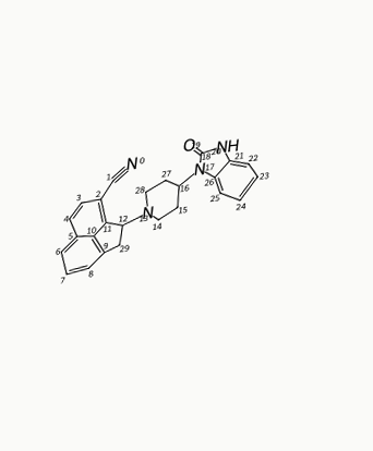 N#Cc1ccc2cccc3c2c1C(N1CCC(n2c(=O)[nH]c4ccccc42)CC1)C3